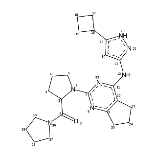 O=C(C1CCCN1c1nc2c(c(Nc3cc(C4CCC4)[nH]n3)n1)CCC2)N1CCCC1